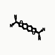 N#CC(C#N)=c1cc2cc3cc4oc(=C(C#N)C#N)cc4cc3cc2o1